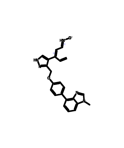 C=C/C(=C\C=[NH+]\[O-])c1c[nH]nc1COc1ccc(-c2cccc3c2ncn3C)cc1